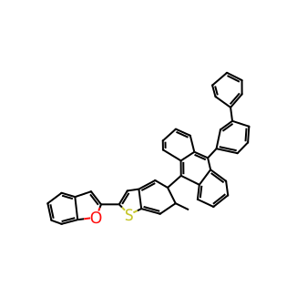 CC1C=c2sc(-c3cc4ccccc4o3)cc2=CC1c1c2ccccc2c(-c2cccc(-c3ccccc3)c2)c2ccccc12